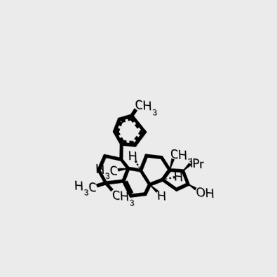 Cc1ccc(C2CCC(C)(C)C3=CC[C@H]4[C@@H]5C[C@H](O)[C@H](C(C)C)[C@@]5(C)CC[C@@H]4[C@]32C)cc1